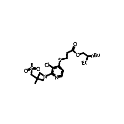 CCCCC(CC)COC(=O)CCSc1ccnc(N2CC(C)(CS(C)(=O)=O)C2)c1Cl